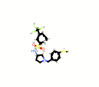 CSc1ccc(CN2CC[C@@H](NS(=O)(=O)c3cccc(C(F)(F)F)c3)C2)cc1